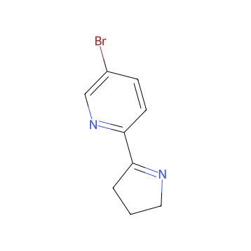 Brc1ccc(C2=NCCC2)nc1